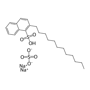 CCCCCCCCCCCCc1ccc2ccccc2c1S(=O)(=O)O.O=S(=O)([O-])[O-].[Na+].[Na+]